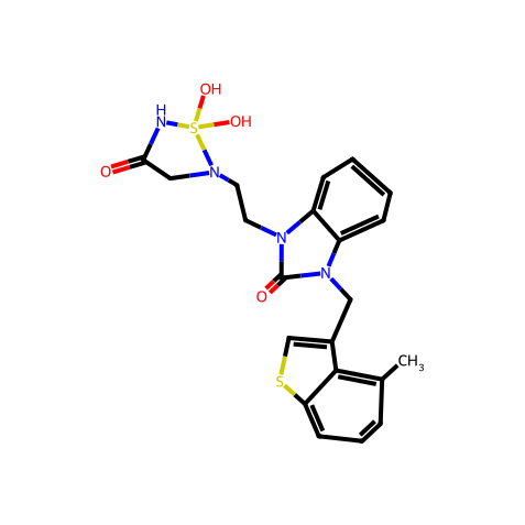 Cc1cccc2scc(Cn3c(=O)n(CCN4CC(=O)NS4(O)O)c4ccccc43)c12